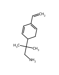 C=CC1=CCC(C(C)(C)CN)C=C1